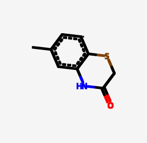 Cc1c[c]c2c(c1)NC(=O)CS2